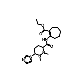 CCOC(=O)C1=C(NC(=O)C2CCC(n3ccnc3)N(C)N2C)CCCCC1